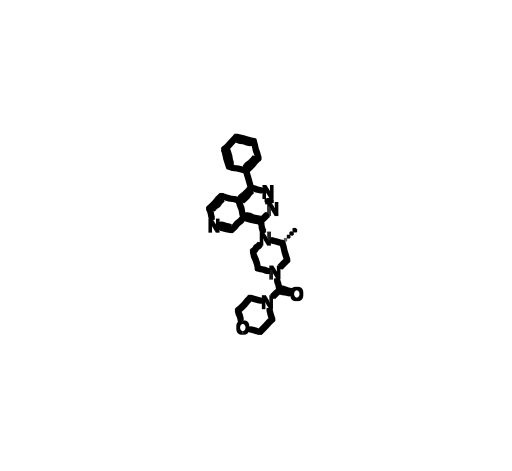 C[C@@H]1CN(C(=O)N2CCOCC2)CCN1c1nnc(-c2ccccc2)c2ccncc12